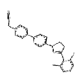 N#CCc1ccc(-c2ccc(C3CCC(c4c(F)cccc4F)=N3)cc2)nc1